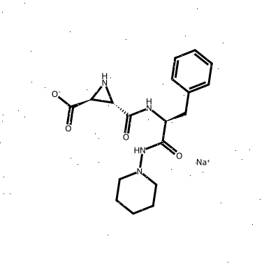 O=C(NN1CCCCC1)[C@H](Cc1ccccc1)NC(=O)[C@H]1N[C@@H]1C(=O)[O-].[Na+]